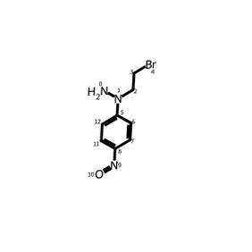 NN(CCBr)c1ccc(N=O)cc1